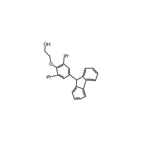 CC(C)c1cc(C2c3ccccc3-c3ccccc32)cc(C(C)C)c1OCCO